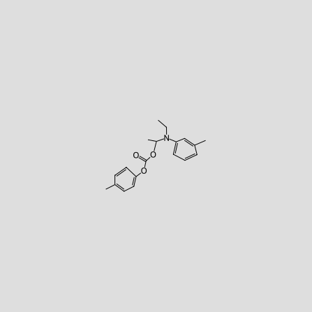 CCN(c1cccc(C)c1)C(C)OC(=O)Oc1ccc(C)cc1